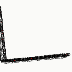 O.O.O.O.O.O.O.O.O.O.O.O.O.O.O.O.O.O.O.O.O.O.O.O.O.O.O.O.O.O.O.O.O.O.O.O.O.O.O.O.O.O.O.O.O.O.O.O.O.O.O.O.O.O.O.O.O.O.O.O.O.O.O.O.O.O.O.O.O.O.O.O.O.O.O.O.O.O.O.O.O.O.O.O.O.O.O.O.O.O.O.O.O.O.O.O.O.O.OCO